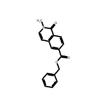 Cn1ccc2cc(C(=O)OCc3ccccc3)ccc2c1=O